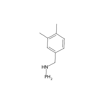 Cc1ccc(CNP)cc1C